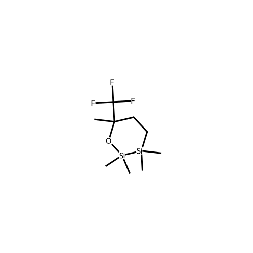 CC1(C(F)(F)F)CC[Si](C)(C)[Si](C)(C)O1